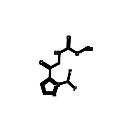 CC(C)(C)OC(=O)NCC(=O)c1ccnn1C(F)F